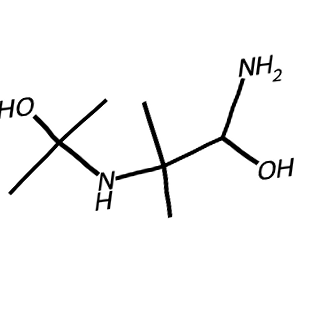 CC(C)(O)NC(C)(C)C(N)O